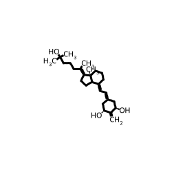 C=C1[C@H](O)CC(=C/C=C2\CCC[C@]3(C)/C(=C(\C)CCCC(C)(C)O)CCC23)C[C@H]1O